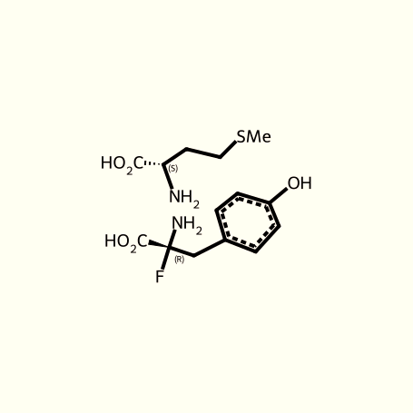 CSCC[C@H](N)C(=O)O.N[C@@](F)(Cc1ccc(O)cc1)C(=O)O